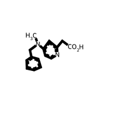 CN(Cc1ccccc1)c1ccnc(CC(=O)O)c1